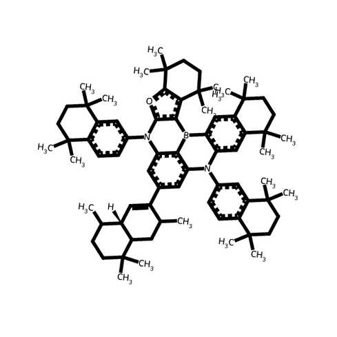 CC1CC2[C@@H](C=C1c1cc3c4c(c1)N(c1ccc5c(c1)C(C)(C)CCC5(C)C)c1oc5c(c1B4c1cc4c(cc1N3c1ccc3c(c1)C(C)(C)CCC3(C)C)C(C)(C)CCC4(C)C)C(C)(C)CCC5(C)C)C(C)CCC2(C)C